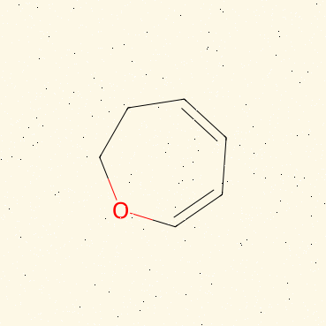 C1=CCCOC=C1